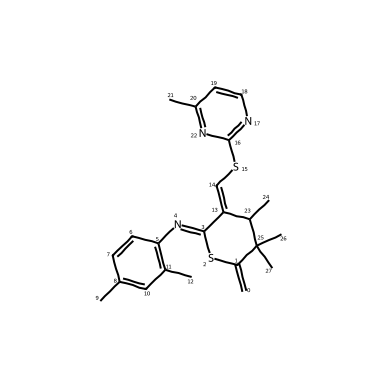 C=C1SC(=N\c2ccc(C)cc2C)/C(=C/Sc2nccc(C)n2)C(C)C1(C)C